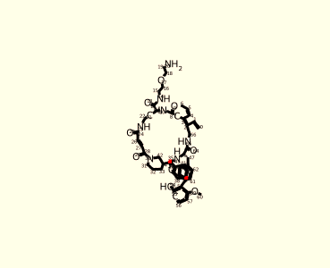 C=C/C1=C(\C=C/C)CC(=O)N[C@H](C(=O)NCCOCCN)CCNC(=O)/C=C/C(=O)N2CCC[C@](Cc3ccccc3)(C2)C(=O)N[C@@H](Cc2ccc(-c3c(O)cccc3OC)cc2)C(=O)NC1